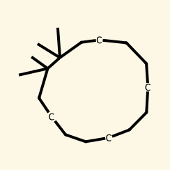 CC1(C)CCCCCCCCCCCCC1(C)C